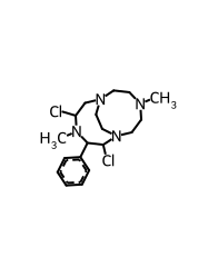 CN1CCN2CCN(CC1)C(Cl)C(c1ccccc1)N(C)C(Cl)C2